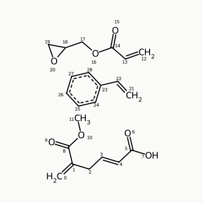 C=C(CC=CC(=O)O)C(=O)OC.C=CC(=O)OCC1CO1.C=Cc1ccccc1